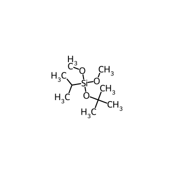 CO[Si](OC)(OC(C)(C)C)C(C)C